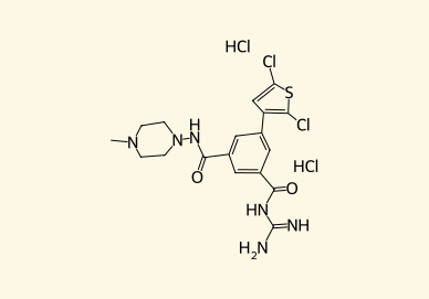 CN1CCN(NC(=O)c2cc(C(=O)NC(=N)N)cc(-c3cc(Cl)sc3Cl)c2)CC1.Cl.Cl